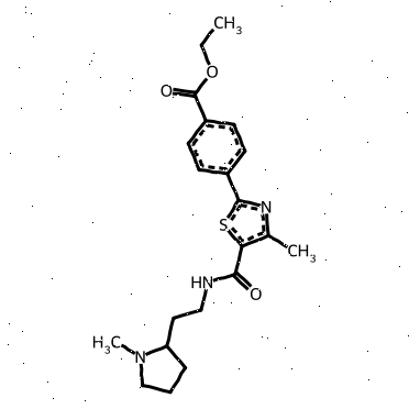 CCOC(=O)c1ccc(-c2nc(C)c(C(=O)NCCC3CCCN3C)s2)cc1